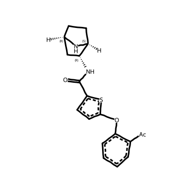 CC(=O)c1ccccc1Oc1ccc(C(=O)N[C@@H]2C[C@H]3CC[C@@H]2N3)s1